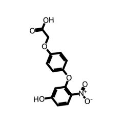 O=C(O)COc1ccc(Oc2cc(O)ccc2[N+](=O)[O-])cc1